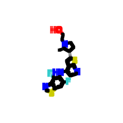 C[C@@H]1[C@@H](c2cc3c(Nc4c(F)cc5scnc5c4F)ccnc3s2)CCN1CCO